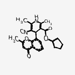 [C-]#[N+]C1=C(C)NC(C)=C(C(=O)OC2CCCC2)C1c1cccc2c(=O)cc(C)oc12